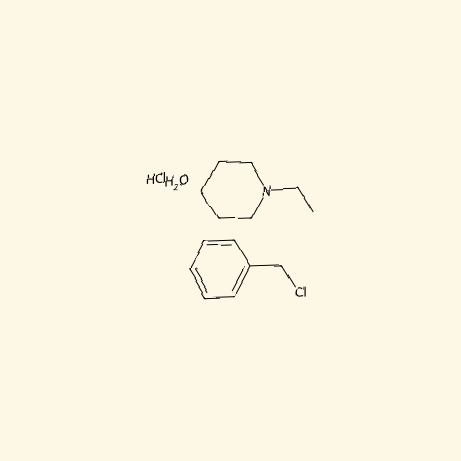 CCN1CCCCC1.Cl.ClCc1ccccc1.O